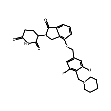 O=C1CCC(N2Cc3c(SCc4cc(F)c(CN5CCCCC5)c(Cl)c4)cccc3C2=O)C(=O)N1